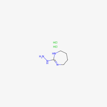 Cl.Cl.NNC1=NCCCCN1